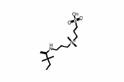 C=C(NCCC[N+](C)(C)CCCS(=O)(=O)O)C(C)(C)CC